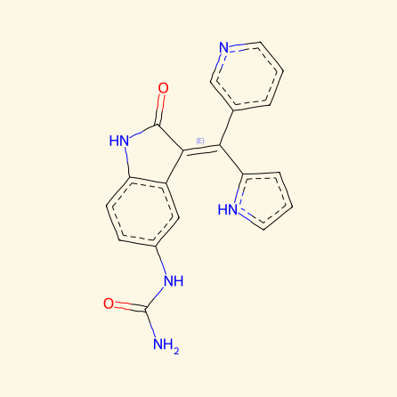 NC(=O)Nc1ccc2c(c1)/C(=C(/c1cccnc1)c1ccc[nH]1)C(=O)N2